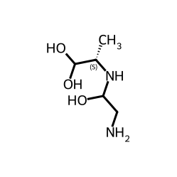 C[C@H](NC(O)CN)C(O)O